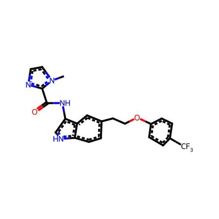 Cn1ccnc1C(=O)Nc1c[nH]c2ccc(CCOc3ccc(C(F)(F)F)cc3)cc12